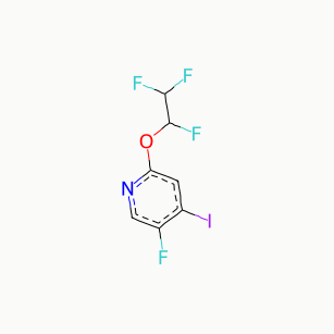 Fc1cnc(OC(F)C(F)F)cc1I